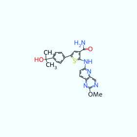 COc1ncc2nc(Nc3sc(-c4ccc(C(C)(C)O)cc4)cc3C(N)=O)ccc2n1